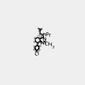 CCCN(CC1CC1)c1nc(C)nc2c1CCCC2c1ccc(Cl)cc1